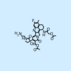 CC[C@@](O)(C(=O)NCCN)c1cc2n(c(=O)c1COC(C)=O)Cc1c-2nc2cc(F)c(C)c3c2c1[C@@H](NC(=O)COC(C)=O)CC3